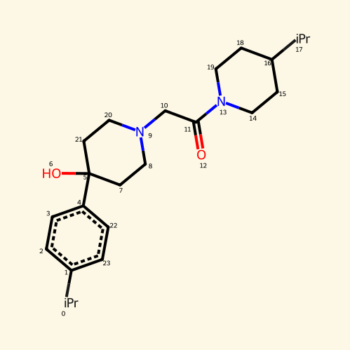 CC(C)c1ccc(C2(O)CCN(CC(=O)N3CCC(C(C)C)CC3)CC2)cc1